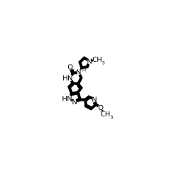 COc1ccc(-c2n[nH]c3cc4c(cc23)CN([C@H]2CCN(C)C2)C(=O)N4)cn1